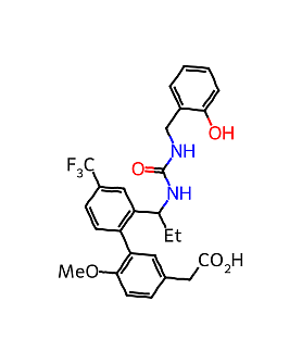 CCC(NC(=O)NCc1ccccc1O)c1cc(C(F)(F)F)ccc1-c1cc(CC(=O)O)ccc1OC